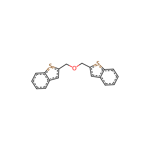 c1ccc2sc(COCc3cc4ccccc4s3)cc2c1